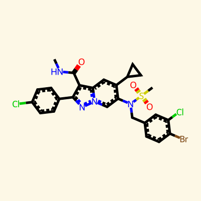 CNC(=O)c1c(-c2ccc(Cl)cc2)nn2cc(N(Cc3ccc(Br)c(Cl)c3)S(C)(=O)=O)c(C3CC3)cc12